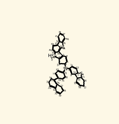 C[SiH]1C2=C(C=CC(N(C3=CC4C(C=C3)SC3CCC=CC34)C3=CC=C(C4=c5ccccc5=CCC4)CC3)C2)c2c1ccc1c2sc2ccccc21